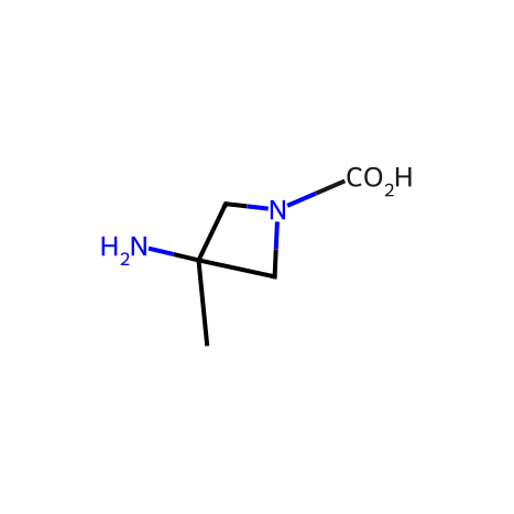 CC1(N)CN(C(=O)O)C1